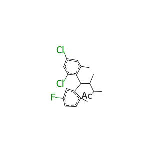 CC(=O)C(C)C(C)C(c1cc(F)ccc1C)c1c(C)cc(Cl)cc1Cl